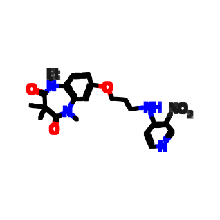 CCN1C(=O)C(C)(C)C(=O)N(C)c2cc(OCCCNc3ccncc3[N+](=O)[O-])ccc21